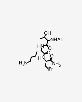 CC(=O)NC(C(=O)N[C@@H](CCCCN)C(=O)N[C@H](CC(C)C)C(N)=O)C(C)O